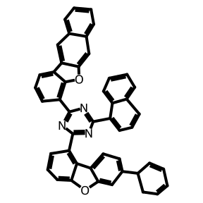 C1=CCC(c2ccc3c(c2)oc2cccc(-c4nc(-c5cccc6ccccc56)nc(-c5cccc6c5oc5cc7ccccc7cc56)n4)c23)C=C1